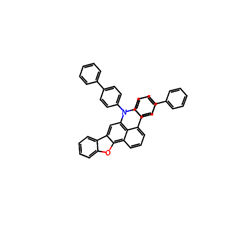 c1ccc(-c2ccc(N(c3ccc(-c4ccccc4)cc3)c3cc4c5ccccc5oc4c4cccc(-c5ccccc5)c34)cc2)cc1